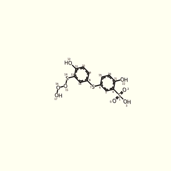 O=S(=O)(O)c1cc(Sc2ccc(O)c(SOOO)c2)ccc1O